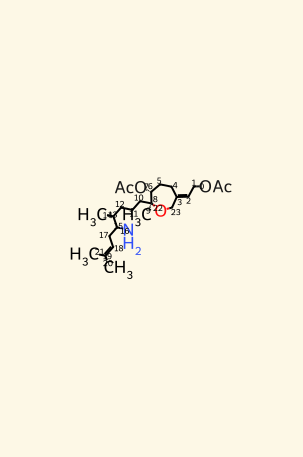 CC(=O)OC/C=C1\CC[C@@H](OC(C)=O)[C@](C)(CCCC(C)C(N)CC=C(C)C)OC1